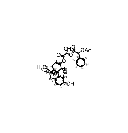 CC(=O)O[C@H](C(=O)O[C@@H](C)C(=O)OC1=CC[C@@]2(O)[C@H]3Cc4ccc(O)c5c4[C@@]2(CCC3C)[C@H]1O5)c1ccccc1